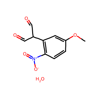 COc1ccc([N+](=O)[O-])c(C(C=O)C=O)c1.O